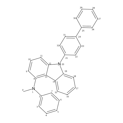 CN(c1ccccc1)c1cccc2c1c1ccccc1n2-c1ccc(-c2ccccc2)cc1